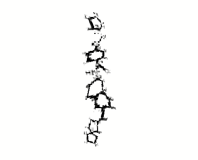 O=C(N[C@H]1CCc2cc(CN3CCC4(CCCC4)C3)ccc2C1)c1ccc(OC[C@@H]2CCCO2)cc1